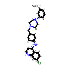 COc1cccc(N2CCN(Cc3ccc(Nc4ccnc5cc(Cl)ccc45)cc3)CC2)c1